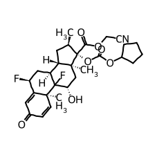 C[C@@H]1C[C@H]2[C@@H]3C[C@H](F)C4=CC(=O)C=C[C@]4(C)C3(F)[C@@H](O)C[C@]2(C)[C@]1(OC(=O)OC1CCCC1)C(=O)OCC#N